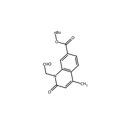 CCCCOC(=O)c1ccc2c(C)cc(=O)n(CC=O)c2c1